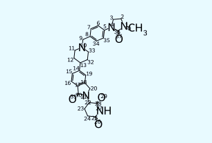 CN1CCN(c2ccc(CN3CCC(c4ccc5c(c4)CN(C4CCC(=O)NC4=O)C5=O)CC3)cc2)C1=O